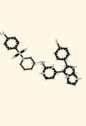 O=C(O)c1ccc(S(=O)(=O)N2CCC[C@@H](Nc3nccc(-c4c(-c5ccc(F)cc5)nc5occn45)n3)C2)cc1